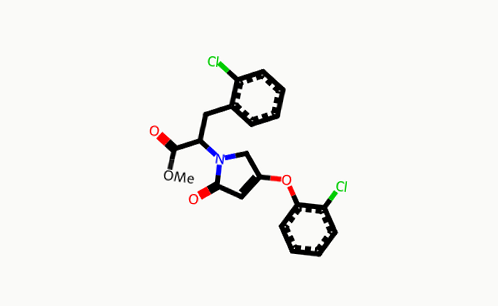 COC(=O)C(Cc1ccccc1Cl)N1CC(Oc2ccccc2Cl)=CC1=O